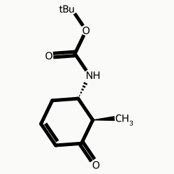 C[C@H]1C(=O)C=CC[C@@H]1NC(=O)OC(C)(C)C